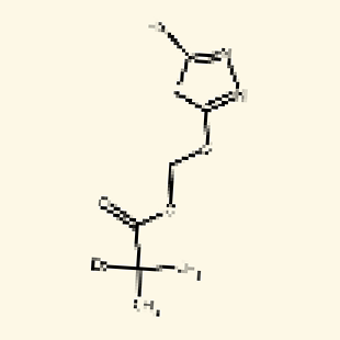 CCC(C)(C)C(=O)OCSc1nnc(S)s1